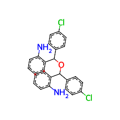 Nc1ccccc1C(OC(c1ccc(Cl)cc1)c1ccccc1N)c1ccc(Cl)cc1